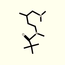 CC(CCN(C)C(=O)C(C)(C)C)CN(C)C